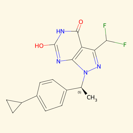 C[C@@H](c1ccc(C2CC2)cc1)n1nc(C(F)F)c2c(=O)[nH]c(O)nc21